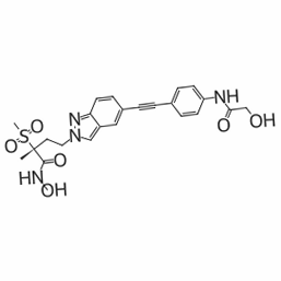 C[C@@](CCn1cc2cc(C#Cc3ccc(NC(=O)CO)cc3)ccc2n1)(C(=O)NO)S(C)(=O)=O